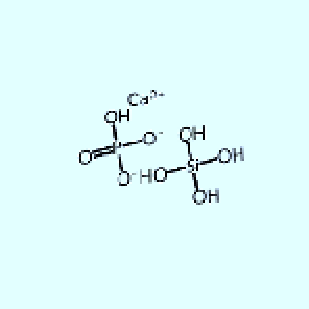 O=P([O-])([O-])O.O[Si](O)(O)O.[Ca+2]